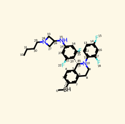 CBc1ccc2c(c1)CCN(c1ccc(F)cc1F)[C@H]2c1c(F)cc(NC2CN(CCCC)C2)cc1F